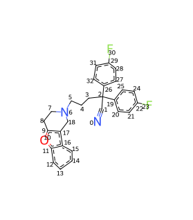 N#CC(CCCN1CCc2oc3ccccc3c2C1)(c1ccc(F)cc1)c1ccc(F)cc1